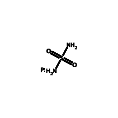 NS(N)(=O)=O.[P]